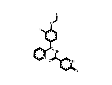 O=C(N[C@@H](c1ccc(OCF)c(F)c1)c1ccccn1)c1ccc(=O)[nH]c1